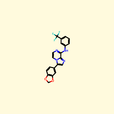 FC(F)(F)c1cccc(Nc2nccn3c(-c4ccc5c(c4)OCO5)cnc23)c1